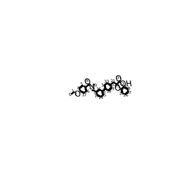 CCOc1ccc(C(=O)N(C)Cc2cccc(-c3ccc(CC(Oc4ccccc4)C(=O)O)cc3)c2)cc1